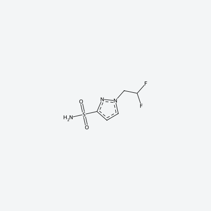 NS(=O)(=O)c1ccn(CC(F)F)n1